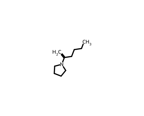 C=C(CCCC)N1CCCC1